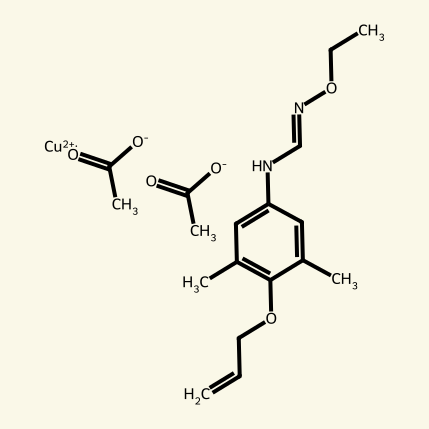 C=CCOc1c(C)cc(NC=NOCC)cc1C.CC(=O)[O-].CC(=O)[O-].[Cu+2]